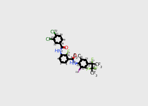 O=C(Nc1cccc(C(=O)Nc2c(I)cc(C(F)(C(F)(F)F)C(F)(F)C(F)(F)F)cc2C(F)(F)F)c1F)c1ccc(Cl)c(Cl)c1